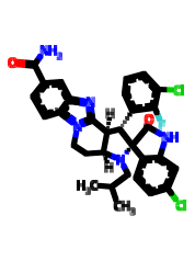 CC(C)CN1[C@H]2CCn3c(nc4cc(C(N)=O)ccc43)[C@H]2[C@H](c2cccc(Cl)c2F)[C@]12C(=O)Nc1cc(Cl)ccc12